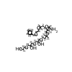 CC(C)(CCOC(C)(N)C(C)(C)COC(C)(C)CCOCC(O)COCC(O)COCCO)OCCOCc1ccccc1